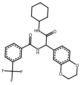 O=C(NC(C(=O)NC1CCCCC1)c1ccc2c(c1)OCCO2)c1cccc(C(F)(F)F)c1